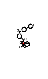 O=C(N1CCC(c2ccncc2)CC1)N1CCC[C@H](NC(=O)C23CC4CC(C2)C(O)[C@H](C4)C3)C1